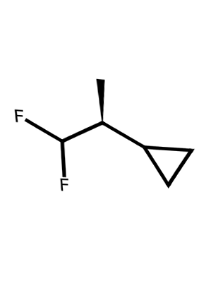 C[C@H](C(F)F)C1CC1